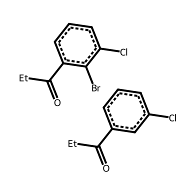 CCC(=O)c1cccc(Cl)c1.CCC(=O)c1cccc(Cl)c1Br